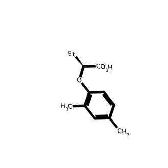 CC[C@H](Oc1ccc(C)cc1C)C(=O)O